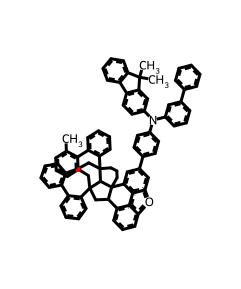 Cc1ccccc1-c1ccccc1C12CCCC34c5cc(-c6ccc(N(c7cccc(-c8ccccc8)c7)c7ccc8c(c7)C(C)(C)c7ccccc7-8)cc6)cc6oc7cccc(c7c56)C3CC3(CC(C1)c1ccccc1-c1ccccc13)C24